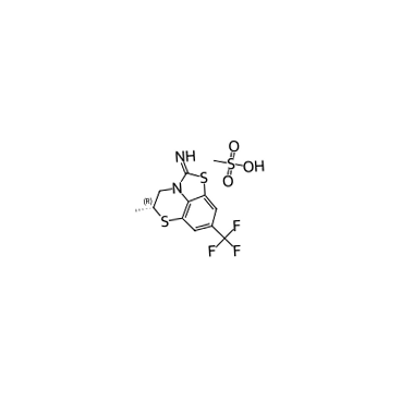 CS(=O)(=O)O.C[C@@H]1Cn2c(=N)sc3cc(C(F)(F)F)cc(c32)S1